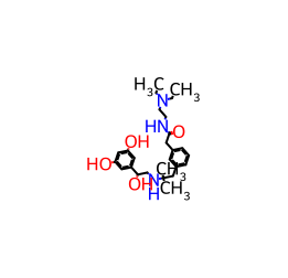 CCN(CC)CCNC(=O)Cc1cccc(CC(C)(C)NCC(O)c2cc(O)cc(O)c2)c1